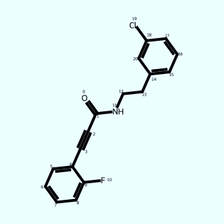 O=C(C#Cc1ccccc1F)NCCc1cccc(Cl)c1